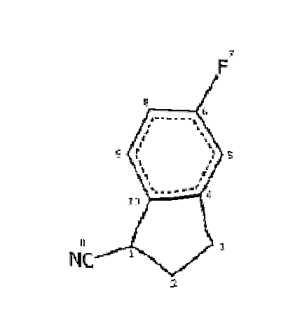 N#CC1CCc2cc(F)ccc21